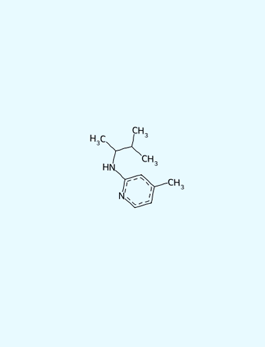 Cc1ccnc(NC(C)C(C)C)c1